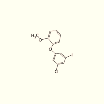 COc1ccccc1Oc1cc(Cl)cc(I)c1